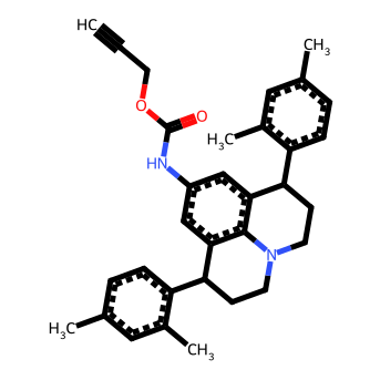 C#CCOC(=O)Nc1cc2c3c(c1)C(c1ccc(C)cc1C)CCN3CCC2c1ccc(C)cc1C